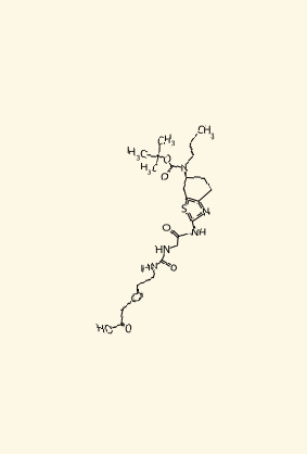 CCCN(C(=O)OC(C)(C)C)[C@H]1CCc2nc(NC(=O)CNC(=O)NCCOCC(=O)O)sc2C1